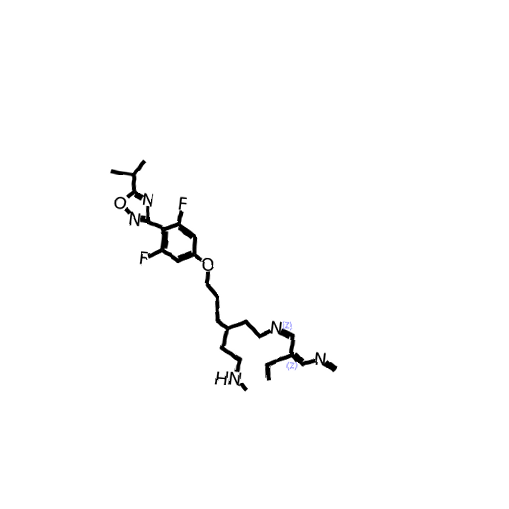 C=N/C=C(\C=N/CCC(CCCOc1cc(F)c(-c2noc(C(C)C)n2)c(F)c1)CCNC)CC